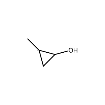 C[C]1CC1O